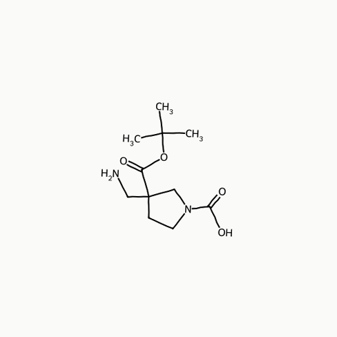 CC(C)(C)OC(=O)C1(CN)CCN(C(=O)O)C1